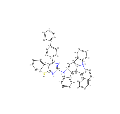 c1ccc(-c2ccc(-c3nc(-n4c5ccccc5c5c6c7c8ccccc8ccc7n7c8ccccc8c(cc54)c67)nc4sc5ccccc5c34)cc2)cc1